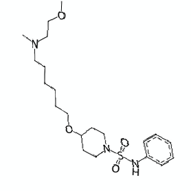 COCCN(C)CCCCCCOC1CCN(S(=O)(=O)Nc2ccccc2)CC1